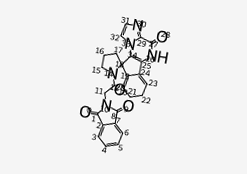 O=C1c2ccccc2C(=O)N1CC(=O)N1CCCC12C1=CCCC=C1c1[nH]c(=O)c3nccn3c12